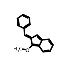 COC1=c2ccccc2=[C]C1=Cc1ccccc1